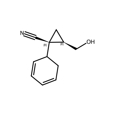 N#C[C@@]1(C2C=CC=CC2)C[C@H]1CO